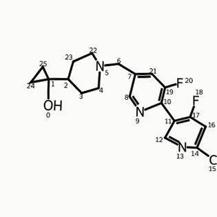 OC1(C2CCN(Cc3cnc(-c4cnc(Cl)cc4F)c(F)c3)CC2)CC1